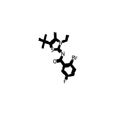 CCn1c(C)c(C(C)(C)C)s/c1=N\C(=O)c1cc(F)ccc1Br